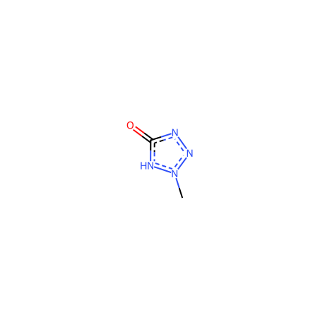 Cn1nnc(=O)[nH]1